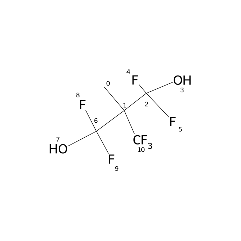 CC(C(O)(F)F)(C(O)(F)F)C(F)(F)F